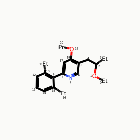 CCOC(CC)Cc1cnc(-c2c(CC)cccc2CC)cc1OC(C)C